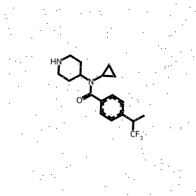 CC(c1ccc(C(=O)N(C2CCNCC2)C2CC2)cc1)C(F)(F)F